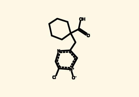 O=C(O)C1(Cc2c[n+]([O-])c(Cl)cn2)CCCCC1